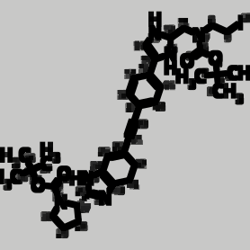 CC(C)(C)OC(=O)N(CCI)CC1NC=C(c2ccc(C#CC3=Cc4[nH]c([C@@H]5CCCN5C(=O)OC(C)(C)C)nc4CC3)cc2)N1